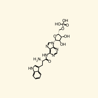 N[C@@H](Cc1c[nH]c2ccccc12)C(=O)Nc1ncnc2c1ncn2[C@@H]1O[C@H](COP(=O)(O)O)[C@@H](O)[C@H]1O